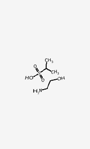 CC(C)S(=O)(=O)O.NCCO